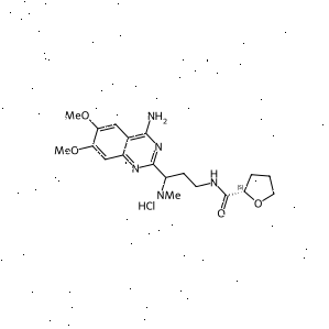 CNC(CCNC(=O)[C@@H]1CCCO1)c1nc(N)c2cc(OC)c(OC)cc2n1.Cl